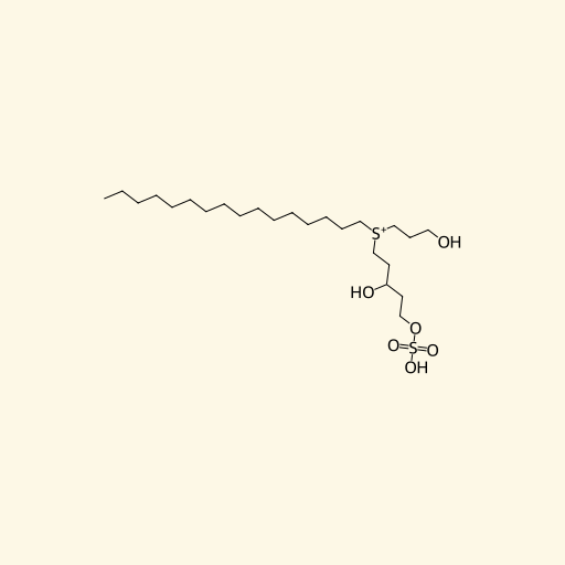 CCCCCCCCCCCCCCCC[S+](CCCO)CCC(O)CCOS(=O)(=O)O